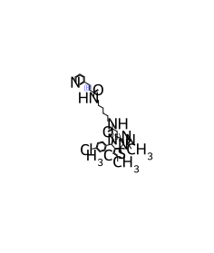 Cc1sc2c(c1C)C(c1ccc(Cl)cc1)=N[C@@H](CC(=O)NCCCCCCNC(=O)/C=C/c1cccnc1)c1nnc(C)n1-2